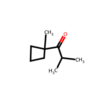 CC(C)C(=O)C1(C)CCC1